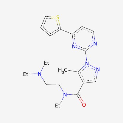 CCN(CC)CCN(CC)C(=O)c1cnn(-c2nccc(-c3cccs3)n2)c1C